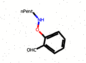 CCCCCNOc1ccccc1C=O